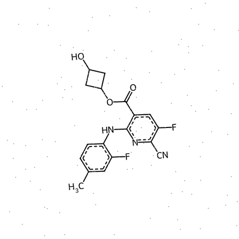 Cc1ccc(Nc2nc(C#N)c(F)cc2C(=O)OC2CC(O)C2)c(F)c1